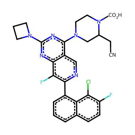 N#CCC1CN(c2nc(N3CCC3)nc3c(F)c(-c4cccc5ccc(F)c(Cl)c45)ncc23)CCN1C(=O)O